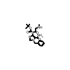 CNCC(=O)N(C(=O)OC(C)(C)C)c1ncn(Cc2ccccc2)c1C(N)=O